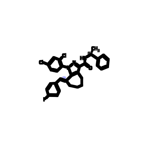 C[C@@H](NC(=O)c1nn(-c2ccc(Cl)cc2Cl)c2c1CCCC/C2=C\c1ccc(F)cc1)c1ccccc1